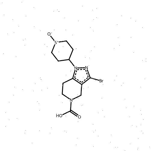 O=C(O)N1CCc2c(c(Br)nn2C2CC[S+]([O-])CC2)C1